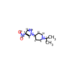 CC(C)N1CCC(n2cc([N+](=O)[O-])cn2)CC1